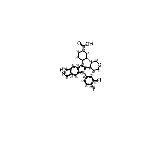 O=C(O)C1CCC(c2c(C3CCOCC3)n(-c3ccc(F)c(Cl)c3)c3cc4cn[nH]c4cc23)CC1